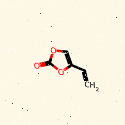 C=Cc1coc(=O)o1